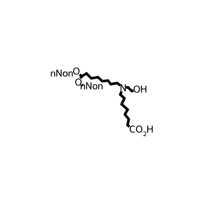 CCCCCCCCCOC(CCCCCCCN(CCO)CCCCCCCC(=O)O)OCCCCCCCCC